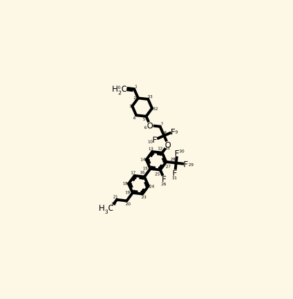 C=CC1CCC(OCC(F)(F)Oc2ccc(-c3ccc(CCC)cc3)c(F)c2C(F)(F)F)CC1